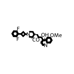 COc1ccc2nccc(C(O)CC[C@@H]3CCN(C4CC(c5c(F)cccc5F)C4)C[C@@H]3C(=O)O)c2c1